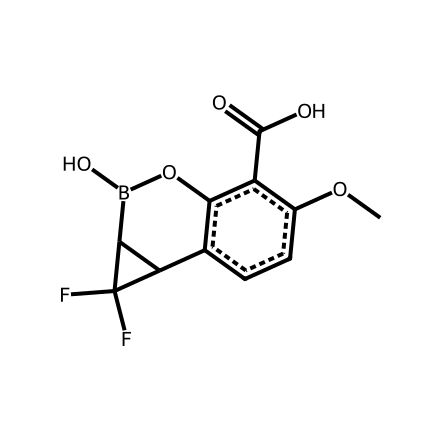 COc1ccc2c(c1C(=O)O)OB(O)C1C2C1(F)F